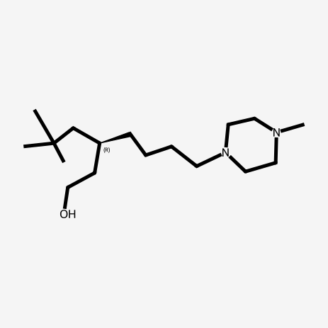 CN1CCN(CCCC[C@@H](CCO)CC(C)(C)C)CC1